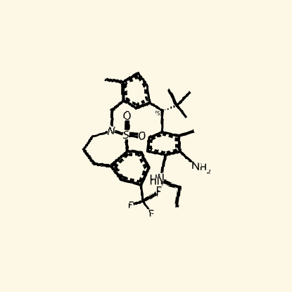 CCNc1ccc([C@H](c2ccc(C)c(CN3CCCc4cc(C(F)(F)F)ccc4S3(=O)=O)c2)C(C)(C)C)c(C)c1N